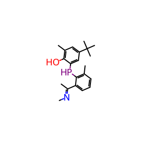 C/N=C(\C)c1cccc(C)c1Pc1cc(C(C)(C)C)cc(C)c1O